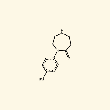 CC(C)(C)c1ccc(N2CCNCCC2=O)cn1